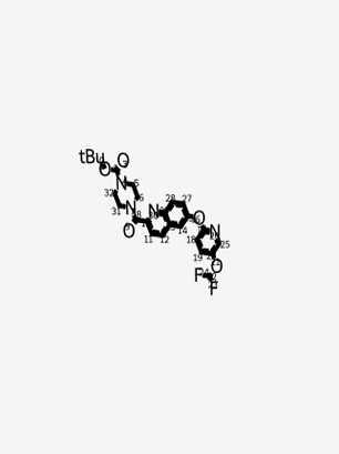 CC(C)(C)OC(=O)N1CCN(C(=O)c2ccc3cc(Oc4ccc(OC(F)F)cn4)ccc3n2)CC1